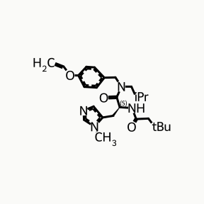 C=COc1ccc(CN(CC(C)C)C(=O)[C@H](Cc2cncn2C)NC(=O)CC(C)(C)C)cc1